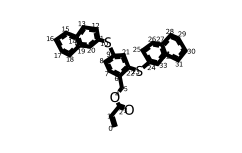 C=CC(=O)OCc1ccc(Sc2ccc3ccccc3c2)cc1Sc1ccc2ccccc2c1